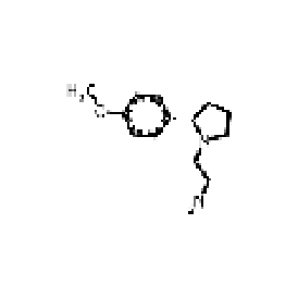 COc1ccc([C@@H]2CCCN2CCN)cc1